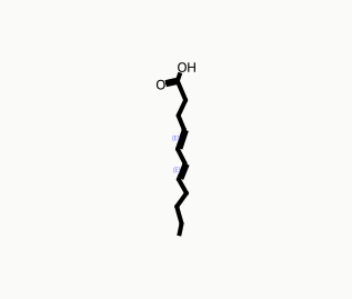 CCCC/C=C/C=C/CCC(=O)O